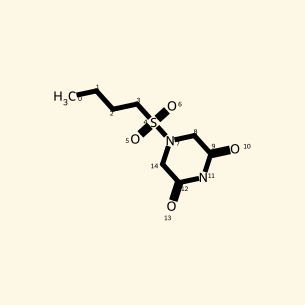 CCCCS(=O)(=O)N1CC(=O)[N]C(=O)C1